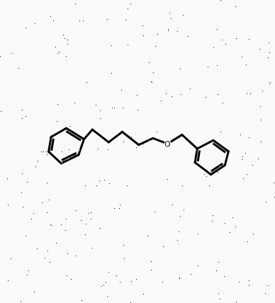 [c]1ccc(CCCCCOCc2ccccc2)cc1